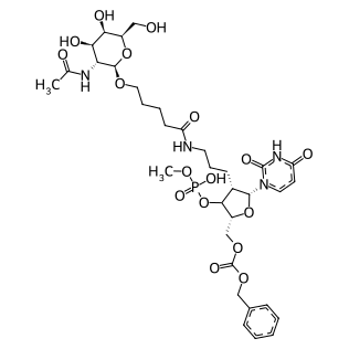 COP(=O)(O)OC1[C@@H](COC(=O)OCc2ccccc2)O[C@@H](n2ccc(=O)[nH]c2=O)[C@H]1CCCNC(=O)CCCCO[C@@H]1O[C@H](CO)[C@H](O)[C@H](O)[C@H]1NC(C)=O